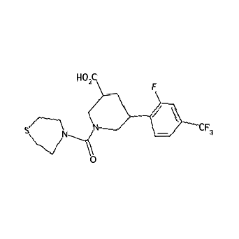 O=C(O)C1CC(c2ccc(C(F)(F)F)cc2F)CN(C(=O)N2CCSCC2)C1